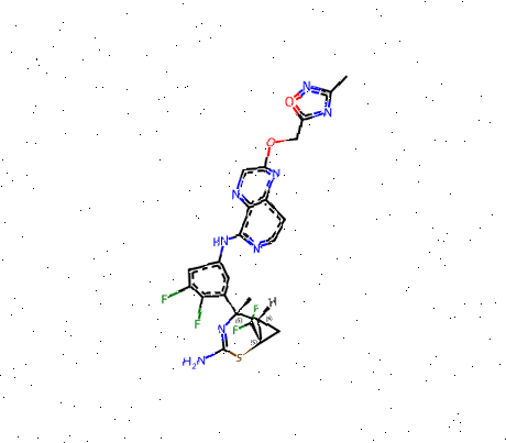 Cc1noc(COc2cnc3c(Nc4cc(F)c(F)c([C@@]5(C)N=C(N)S[C@@]6(C(F)F)C[C@@H]56)c4)nccc3n2)n1